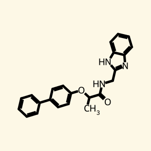 CC(Oc1ccc(-c2ccccc2)cc1)C(=O)NCc1nc2ccccc2[nH]1